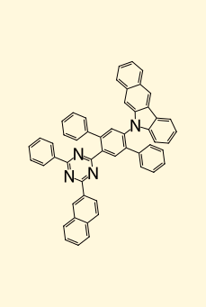 c1ccc(-c2nc(-c3ccc4ccccc4c3)nc(-c3cc(-c4ccccc4)c(-n4c5ccccc5c5cc6ccccc6cc54)cc3-c3ccccc3)n2)cc1